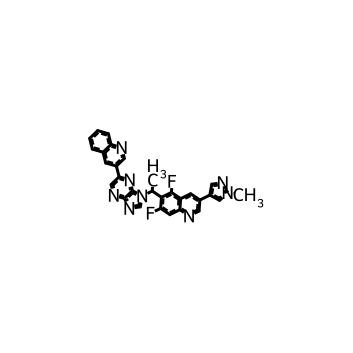 CC(c1c(F)cc2ncc(-c3cnn(C)c3)cc2c1F)n1cnc2ncc(-c3cnc4ccccc4c3)nc21